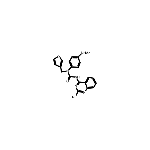 CC(=O)Nc1ccc(N(Cc2ccsc2)C(=O)Nc2nc(C#N)nc3ccccc23)cc1